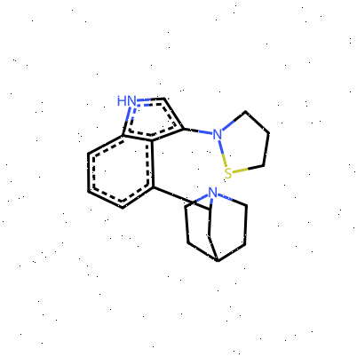 [c]1[nH]c2cccc(C3CC4CCN3CC4)c2c1N1CCCS1